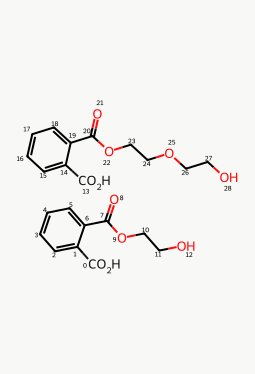 O=C(O)c1ccccc1C(=O)OCCO.O=C(O)c1ccccc1C(=O)OCCOCCO